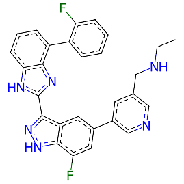 CCNCc1cncc(-c2cc(F)c3[nH]nc(-c4nc5c(-c6ccccc6F)cccc5[nH]4)c3c2)c1